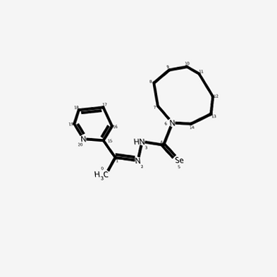 CC(=NNC(=[Se])N1CCCCCCCC1)c1ccccn1